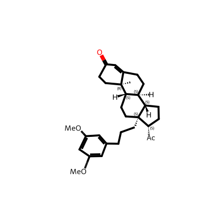 COc1cc(CCC[C@]23CC[C@H]4[C@@H](CCC5=CC(=O)CC[C@@]54C)[C@@H]2CC[C@@H]3C(C)=O)cc(OC)c1